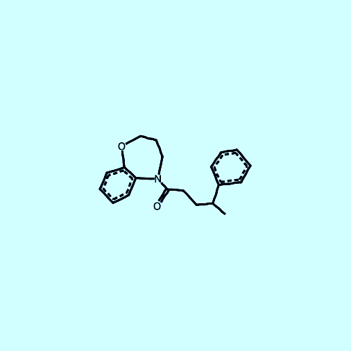 CC(CCC(=O)N1CCCOc2ccccc21)c1ccccc1